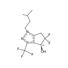 CC(C)CCn1nc(C(F)(F)F)c2c1CC(F)(F)[C@H]2O